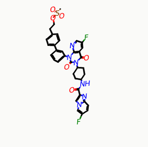 CS(=O)(=O)OCCc1ccc(-c2cccc(-n3c(=O)n(C4CCC(NC(=O)c5cn6cc(F)ccc6n5)CC4)c(=O)c4cc(F)cnc43)c2)cc1